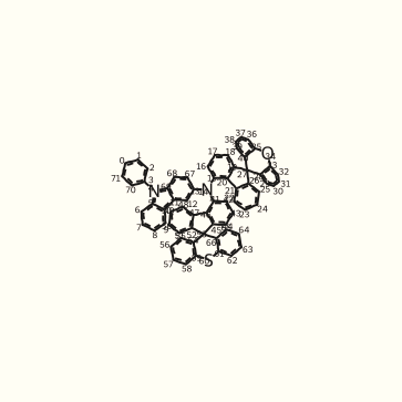 c1ccc(-n2c3ccccc3c3cc(N(c4cccc5c4-c4ccccc4C54c5ccccc5Oc5ccccc54)c4cccc5c4-c4ccccc4C54c5ccccc5Sc5ccccc54)ccc32)cc1